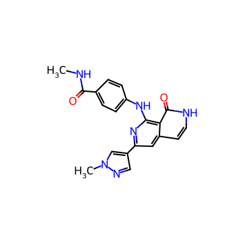 CNC(=O)c1ccc(Nc2nc(-c3cnn(C)c3)cc3cc[nH]c(=O)c23)cc1